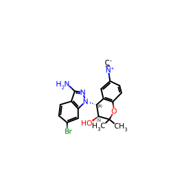 [C-]#[N+]c1ccc2c(c1)[C@@H](n1nc(N)c3ccc(Br)cc31)[C@H](O)C(C)(C)O2